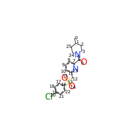 CC1CCN(C(=O)c2cccc(CS(=O)(=O)c3ccc(Cl)cc3)n2)CC1